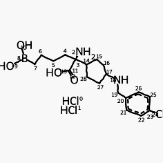 Cl.Cl.N[C@](CCCCB(O)O)(C(=O)O)C1CCC(NCc2ccc(Cl)cc2)CC1